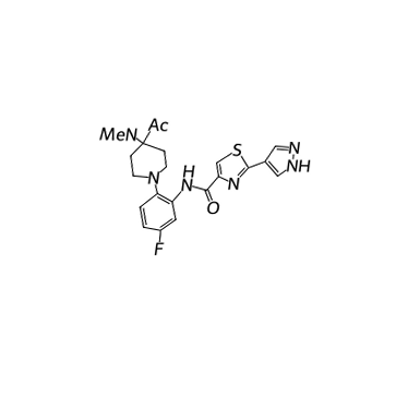 CNC1(C(C)=O)CCN(c2ccc(F)cc2NC(=O)c2csc(-c3cn[nH]c3)n2)CC1